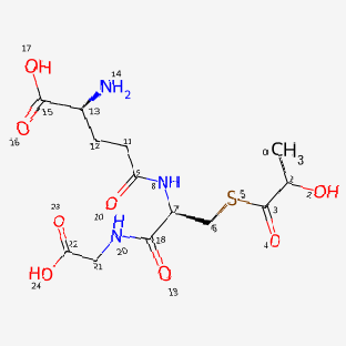 CC(O)C(=O)SC[C@H](NC(=O)CC[C@H](N)C(=O)O)C(=O)NCC(=O)O